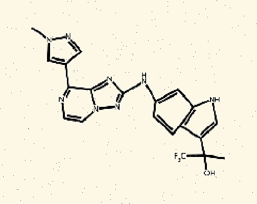 Cn1cc(-c2nccn3nc(Nc4ccc5c(C(C)(O)C(F)(F)F)c[nH]c5c4)nc23)cn1